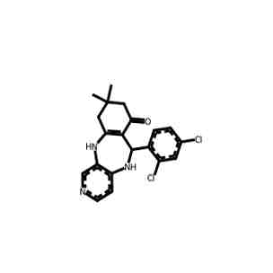 CC1(C)CC(=O)C2=C(C1)Nc1cnccc1NC2c1ccc(Cl)cc1Cl